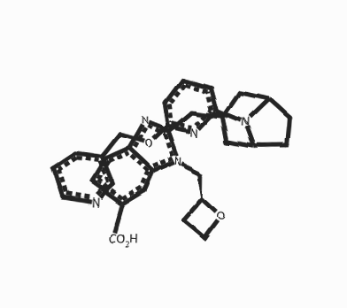 O=C(O)c1ccc2nc(CC3CC4CCC(C3)N4c3cccc(OCc4cccnc4)n3)n(C[C@@H]3CCO3)c2c1